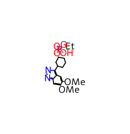 CCOP(=O)(O)OC1CCCC(c2ncnc3cc(OC)c(OC)cc23)C1